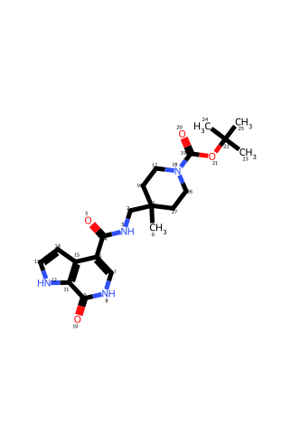 CC1(CNC(=O)c2c[nH]c(=O)c3[nH]ccc23)CCN(C(=O)OC(C)(C)C)CC1